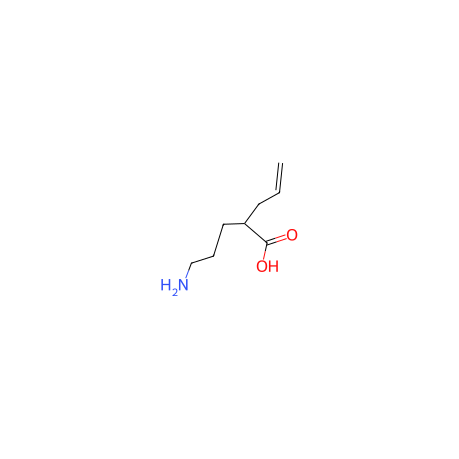 C=CCC(CCCN)C(=O)O